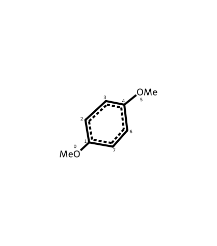 [CH2]Oc1ccc(OC)cc1